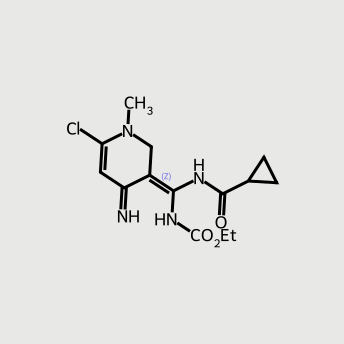 CCOC(=O)N/C(NC(=O)C1CC1)=C1/CN(C)C(Cl)=CC1=N